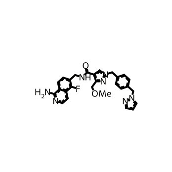 COCc1nn(Cc2ccc(Cn3cccn3)cc2)cc1C(=O)NCc1ccc2c(N)nccc2c1F